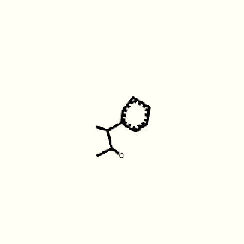 CC([O])C(C)c1ccccc1